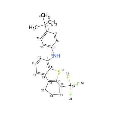 CC(C)(C)c1ccc(Nc2cccc3c4c(sc23)C(C(F)(F)F)=CCC4)cc1